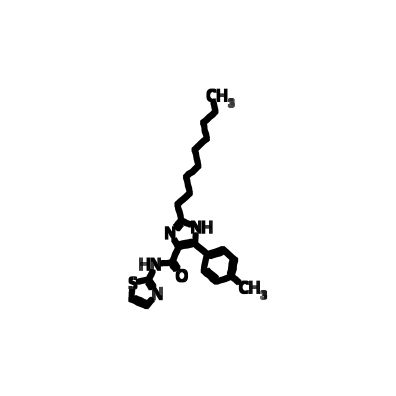 CCCCCCCCCc1nc(C(=O)Nc2nccs2)c(-c2ccc(C)cc2)[nH]1